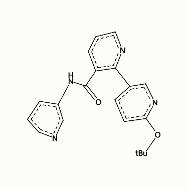 CC(C)(C)Oc1ccc(-c2ncccc2C(=O)Nc2cccnc2)cn1